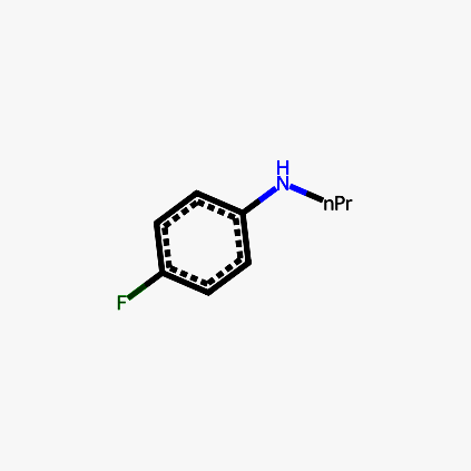 CCCNc1ccc(F)cc1